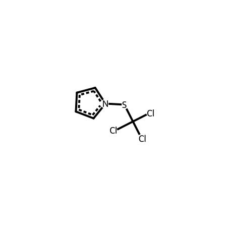 ClC(Cl)(Cl)Sn1cccc1